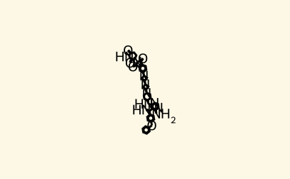 N=C(c1ccc(Oc2ccccc2)cc1)c1c(N)ncnc1NC1CCN(C2CN(C3CN(c4ccc5c(c4)C(=O)N([C@@H]4CCC(=O)NC4=O)C5=O)C3)C2)CC1